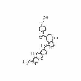 Cc1ccc(Oc2ccc(Nc3ncnc4c3C=C(C(=O)N3CCN(CCO)CC3)CCN4)cc2C)cn1